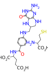 NC(CCS)C(=O)O.Nc1nc2c(c(=O)[nH]1)NC(CNc1ccc(C(=O)NC(CCC(=O)O)C(=O)O)cc1)CN2